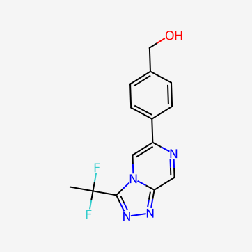 CC(F)(F)c1nnc2cnc(-c3ccc(CO)cc3)cn12